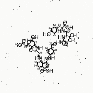 CC(C)[C@@H](NC1N=CCN1)C(=O)N[C@H](Cc1ccc(O)cc1)C(=O)O.O=Cc1ccc(NN=Cc2c(NCCCN[C@H](CC(=O)O)C(=O)NCC(=O)O)cccc2S(=O)(=O)O)nc1